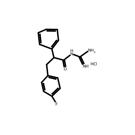 Cl.N=C(N)NC(=O)C(Cc1ccc(F)cc1)c1ccccc1